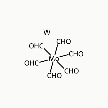 O=[CH][Mo]([CH]=O)([CH]=O)([CH]=O)([CH]=O)[CH]=O.[W]